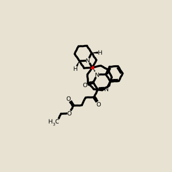 CCOC(=O)CCC(=O)c1nc2ccccc2n([C@H]2C[C@H]3CCC[C@@H](C2)N3C2CCCCCCCC2)c1=O